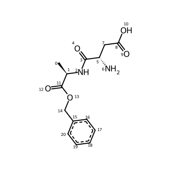 C[C@@H](NC(=O)[C@@H](N)CC(=O)O)C(=O)OCc1ccccc1